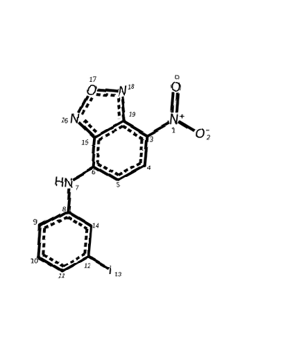 O=[N+]([O-])c1ccc(Nc2cccc(I)c2)c2nonc12